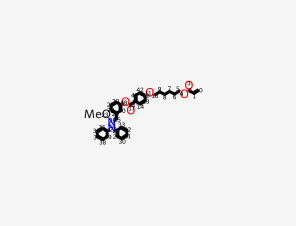 C=CC(=O)OCCCCCCOc1ccc(C(=O)Oc2ccc(OC)c(/C=N/N(c3ccccc3)C3C=CC=CC3)c2)cc1